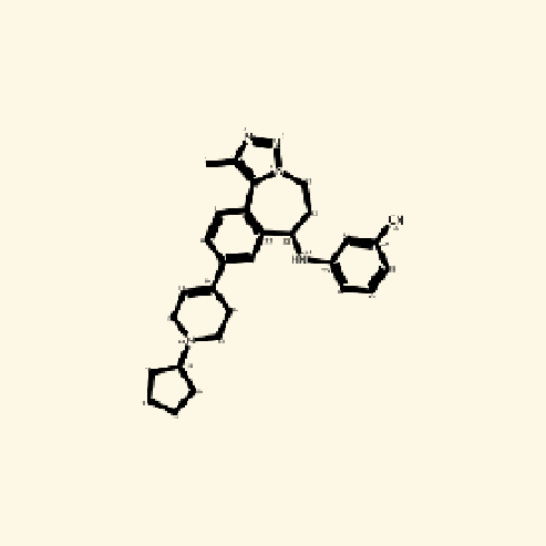 Cc1nnn2c1-c1ccc(C3=CCN(C4CCCC4)CC3)cc1C(Nc1cccc(C#N)c1)CC2